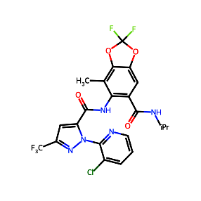 Cc1c(NC(=O)c2cc(C(F)(F)F)nn2-c2ncccc2Cl)c(C(=O)NC(C)C)cc2c1OC(F)(F)O2